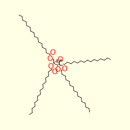 CCCCCCCCCCCCCCCC(=O)OCC(OC(=O)CCCCCCCCCCCCCCC)C(OC(=O)CCCCCCCCCCCCCCC)[14C](=O)CCCCCCCCCCCCCCC